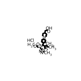 COC(=O)C[C@@H]1N=C(c2ccc(N3CCC(CC(=O)O)CC3)cc2)c2c(sc(C)c2C)-n2c(C)nnc21.Cl